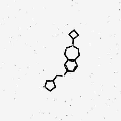 c1cc2c(cc1OCC1CCNC1)CCN(C1CCC1)CC2